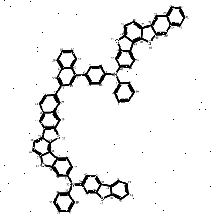 c1ccc(N(c2ccc(-c3cc(-c4ccc5cc6c(cc5c4)sc4c6ccc5oc6cc(N(c7ccccc7)c7ccc8c(c7)sc7ccccc78)ccc6c54)cc4ccccc34)cc2)c2ccc3c(c2)oc2ccc4c5cc6ccccc6cc5sc4c23)cc1